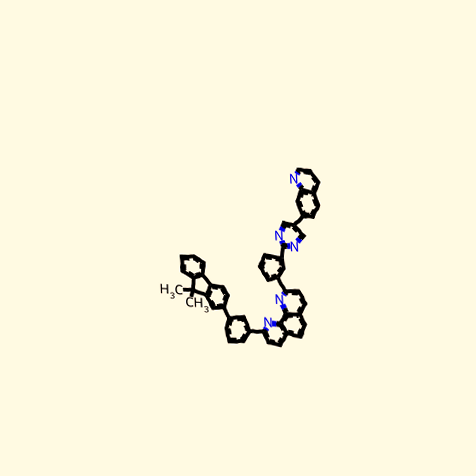 CC1(C)c2ccccc2-c2ccc(-c3cccc(-c4ccc5ccc6ccc(-c7cccc(-c8ncc(-c9ccc%10cccnc%10c9)cn8)c7)nc6c5n4)c3)cc21